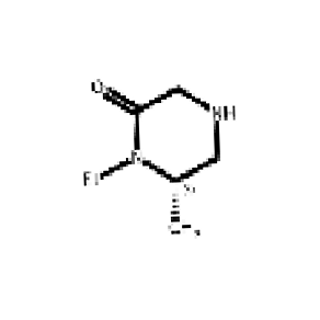 CCN1C(=O)CNC[C@@H]1C